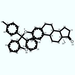 Cc1ccc(C(Oc2ccc3c(c2)CCC2C3CC[C@]3(C)C(=O)CCC23)(c2ccccc2)c2ccccc2Cl)cc1